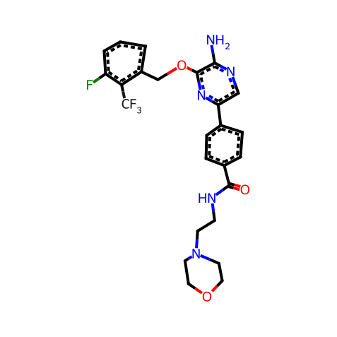 Nc1ncc(-c2ccc(C(=O)NCCN3CCOCC3)cc2)nc1OCc1cccc(F)c1C(F)(F)F